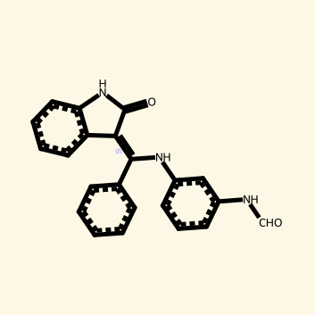 O=CNc1cccc(N/C(=C2\C(=O)Nc3ccccc32)c2ccccc2)c1